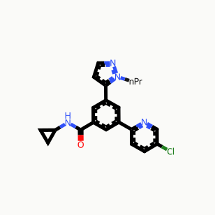 CCCn1nccc1-c1cc(C(=O)NC2CC2)cc(-c2ccc(Cl)cn2)c1